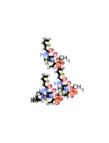 COP(=O)([O-])C1=CCS[C@H]2[C@H](NC(=O)Cc3cccs3)C(=O)N12.COP(=O)([O-])C1=CCS[C@H]2[C@H](NC(=O)Cc3cccs3)C(=O)N12.COP(=O)([O-])C1=CCS[C@H]2[C@H](NC(=O)Cc3cccs3)C(=O)N12.[C+]1=CNCC=C1.[Na+].[Na+]